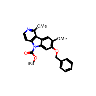 COc1cc2c3c(OC)nccc3n(C(=O)OC(C)(C)C)c2cc1OCc1ccccc1